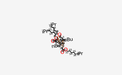 CCC[CH2][Sn]([CH2]CCC)([CH2]C(=S)OCCCCCC(C)C)[S][Sn]([CH2]CCC)([S]CC(=O)OCCCCCC(C)C)[S]CC(=O)OCCCCCC(C)C